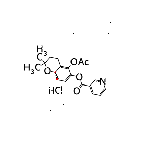 CC(=O)OC1=C2CCC(C)(C)OC23CC=CC=C3C=C1OC(=O)c1cccnc1.Cl